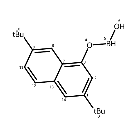 CC(C)(C)c1cc(OBO)c2cc(C(C)(C)C)ccc2c1